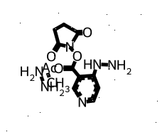 CC(C)=O.NN.NNc1ccncc1C(=O)ON1C(=O)CCC1=O